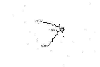 CCCCCCCCCCCCCCCCCC(CCCC)c1nccn1C(C)CCCCCCCCCCCCCCCCC